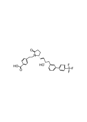 O=C(O)c1ccc(CCN2C(=O)CC[C@@H]2/C=C/[C@@H](O)Cc2cccc(-c3ccc(C(F)(F)F)cc3)c2)cc1